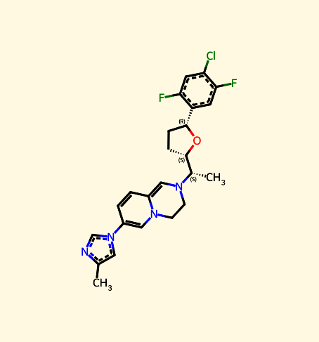 Cc1cn(C2=CN3CCN([C@@H](C)[C@@H]4CC[C@H](c5cc(F)c(Cl)cc5F)O4)C=C3C=C2)cn1